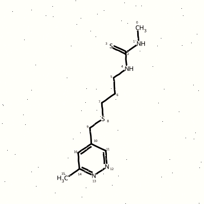 CNC(=S)NCCCSCc1cnnc(C)c1